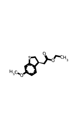 CCOC(=O)C[C@@H]1CSc2cc(OC)ccc21